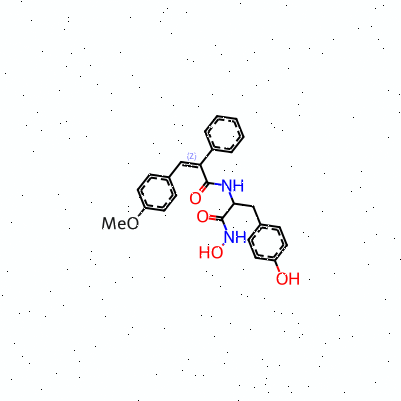 COc1ccc(/C=C(\C(=O)NC(Cc2ccc(O)cc2)C(=O)NO)c2ccccc2)cc1